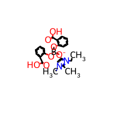 CCn1cc[n+](C)c1C.O=C(O)c1ccccc1OB([O-])Oc1ccccc1C(=O)O